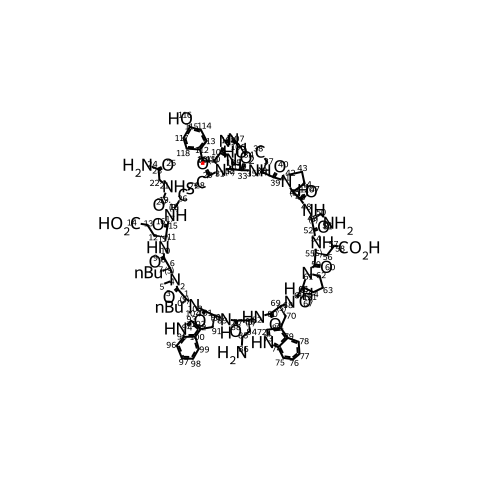 CCCC[C@H]1C(=O)N(C)[C@@H](CCCC)C(=O)N[C@@H](CCC(=O)O)C(=O)N[C@H](C(=O)NCC(N)=O)CSCC(=O)N2[C@@H](C(=O)N[C@@H](CC(=O)O)C(=O)N3CCC[C@H]3C(=O)N[C@@H](CN)C(=O)N[C@@H](CCC(=O)O)C(=O)N3CCC[C@H]3C(=O)N[C@@H](Cc3c[nH]c4ccccc34)C(=O)N[C@@H](CCN)C(=O)N[C@@H](Cc3c[nH]c4ccccc34)C(=O)N1C)n1nnnc1[C@@H]2Cc1ccc(O)cc1